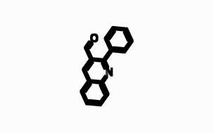 O=Cc1cc2ccccc2nc1-c1ccccc1